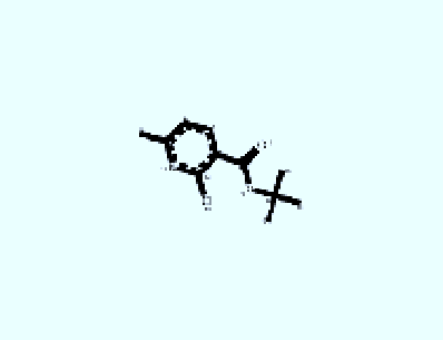 Cc1ccc(C(=O)OC(C)(C)C)c(Cl)n1